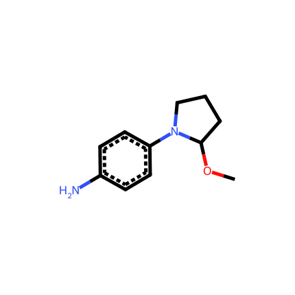 COC1CCCN1c1ccc(N)cc1